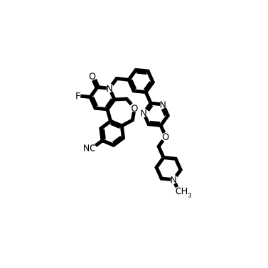 CN1CCC(COc2cnc(-c3cccc(Cn4c5c(cc(F)c4=O)-c4cc(C#N)ccc4COC5)c3)nc2)CC1